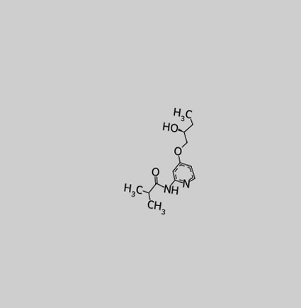 CC[C@H](O)COc1ccnc(NC(=O)C(C)C)c1